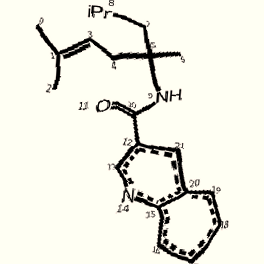 CC(C)=CCC(C)(CC(C)C)NC(=O)c1cnc2ccccc2c1